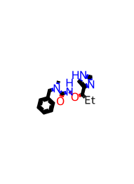 CCC(ONC(=O)N(C)Cc1ccccc1)c1c[nH]cn1